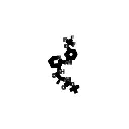 C[C@H](NC(=O)OC(C)(C)C)C(=O)Nc1cccnc1Nc1cccc(OC(F)(F)F)c1